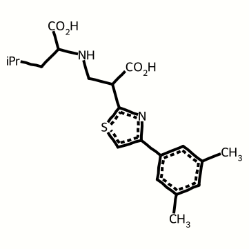 Cc1cc(C)cc(-c2csc(C(CNC(CC(C)C)C(=O)O)C(=O)O)n2)c1